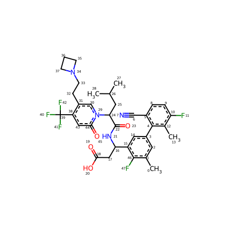 Cc1cc(-c2c(C#N)ccc(F)c2C)cc(C(CC(=O)O)NC(=O)C(CC(C)C)n2cc(CCN3CCC3)c(C(F)(F)F)cc2=O)c1F